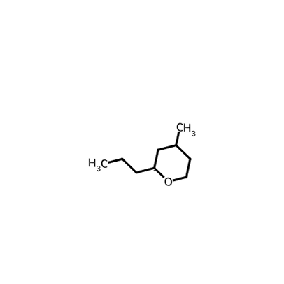 CCC[C]1CC(C)CCO1